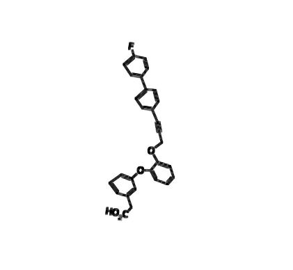 O=C(O)Cc1cccc(Oc2ccccc2OCC#Cc2ccc(-c3ccc(F)cc3)cc2)c1